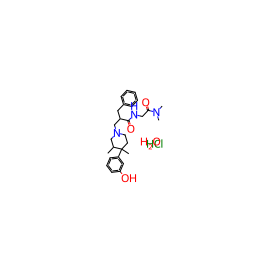 CC1CN(CC(Cc2ccccc2)C(=O)NCC(=O)N(C)C)CCC1(C)c1cccc(O)c1.Cl.O